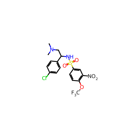 CN(C)CC(NS(=O)(=O)c1ccc(OC(F)(F)F)c([N+](=O)[O-])c1)c1ccc(Cl)cc1